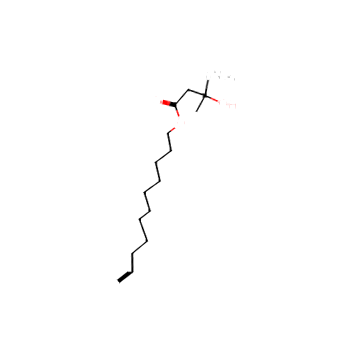 C=CCCCCCCCCCOC(=O)CC(C)(O)CCCCCCCCC